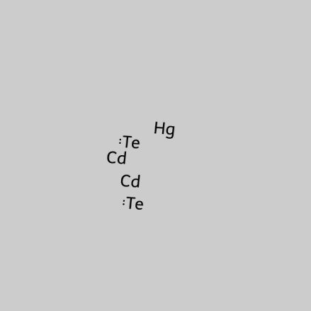 [Cd].[Cd].[Hg].[Te].[Te]